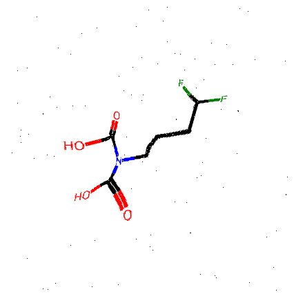 O=C(O)N(CCCC(F)F)C(=O)O